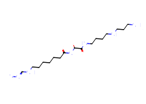 NCCCNCCCCNC(=O)C(O)NC(=O)CCCCCCNC=NN